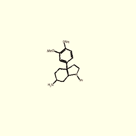 COc1ccc(C23CCC(N)CC2N(C(C)C)CC3)cc1OC